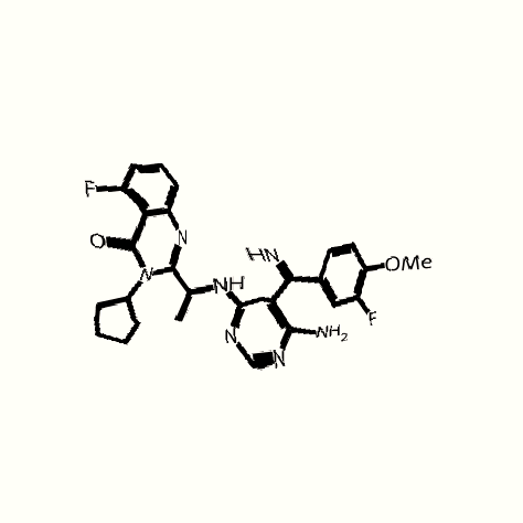 COc1ccc(C(=N)c2c(N)ncnc2NC(C)c2nc3cccc(F)c3c(=O)n2C2CCCC2)cc1F